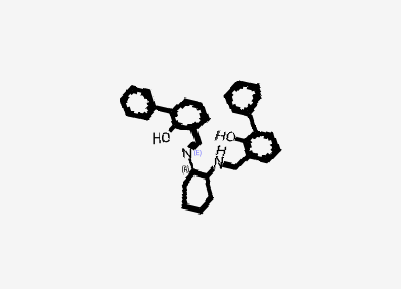 Oc1c(/C=N/[C@@H]2CCCCC2NCc2cccc(-c3ccccc3)c2O)cccc1-c1ccccc1